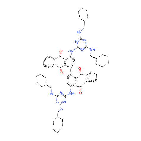 O=C1c2ccccc2C(=O)c2c(-c3ccc(Nc4nc(NCC5CCCCC5)nc(NCC5CCCCC5)n4)c4c3C(=O)c3ccccc3C4=O)ccc(Nc3nc(NCC4CCCCC4)nc(NCC4CCCCC4)n3)c21